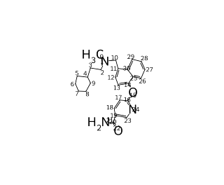 CN(CCC1CCCCC1)Cc1ccc(Oc2ccc(C(N)=O)cn2)c2ccccc12